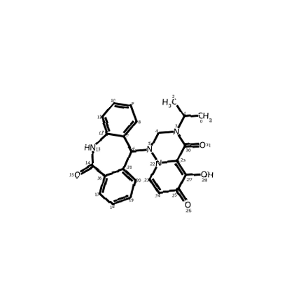 CC(C)N1CN(C2c3ccccc3NC(=O)c3ccccc32)n2ccc(=O)c(O)c2C1=O